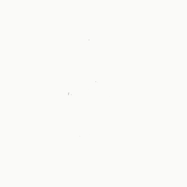 COc1ccc(Cl)cc1-c1c(Nc2ccc(O)cc2)c(=O)[nH]c2ccc(C(F)(F)F)cc12